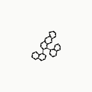 c1ccc2cc3c(-c4cccc5ccccc45)c(-c4cccc5ccccc45)ccc3cc2c1